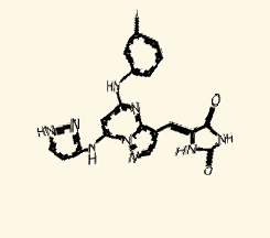 O=C1NC(=O)/C(=C/c2cnn3c(Nc4cc[nH]n4)cc(Nc4cccc(I)c4)nc23)N1